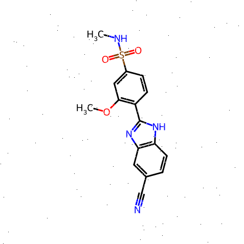 CNS(=O)(=O)c1ccc(-c2nc3cc(C#N)ccc3[nH]2)c(OC)c1